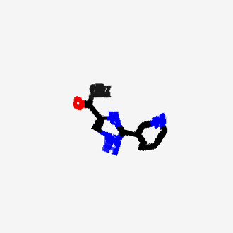 CC(C)(C)C(=O)c1c[nH]c(-c2cccnc2)n1